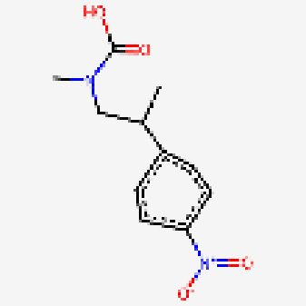 CC(CN(C)C(=O)O)c1ccc([N+](=O)[O-])cc1